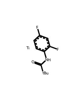 CC(C)(C)C(=O)Nc1ccc(F)[c]c1F.[Ti]